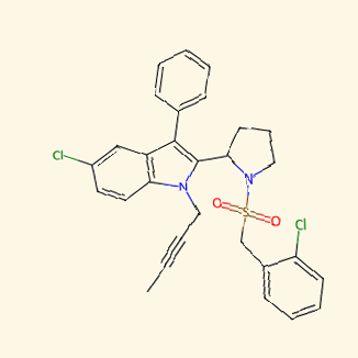 CC#CCn1c(C2CCCN2S(=O)(=O)Cc2ccccc2Cl)c(-c2ccccc2)c2cc(Cl)ccc21